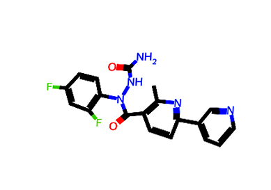 Cc1nc(-c2cccnc2)ccc1C(=O)N(NC(N)=O)c1ccc(F)cc1F